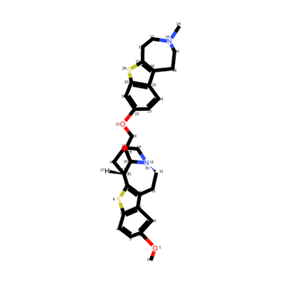 COc1ccc2sc3c(c2c1)CC[N@@]1CCC[C@@H]3C1CCOc1ccc2c3c(sc2c1)CCN(C)CC3